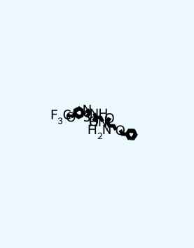 N[C@@H](CCOCc1ccccc1)C(=O)NCC(=O)Nc1nc2ccc(OC(F)(F)F)cc2s1